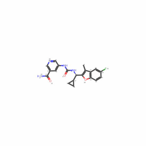 Cc1c([C@H](NC(=O)Nc2cncc(C(N)=O)c2)C2CC2)oc2ccc(F)cc12